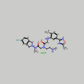 CCNCCN(CC(=O)N(C)N1Cc2ccc(F)cc2C1)C(=O)CNc1cc(-c2noc(C)n2)ccc1C.Cl